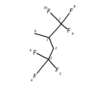 C[C](CC(F)(F)F)C(F)(F)F